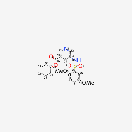 COc1ccc(OC)c(S(=O)(=O)Nc2cncc(C(=O)OC3CCCCC3)c2)c1